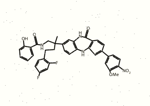 COc1cc(-c2ccc3c(c2)Nc2ccc(C(C)(CCc4ccc(F)cc4F)CNC(=O)c4ccccc4O)cc2NC3=O)ccc1[N+](=O)[O-]